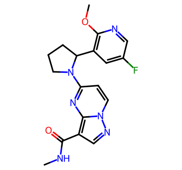 CNC(=O)c1cnn2ccc(N3CCCC3c3cc(F)cnc3OC)nc12